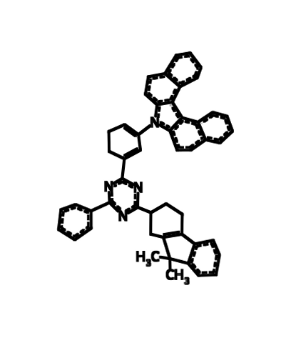 CC1(C)C2=C(CCC(c3nc(C4=CC(n5c6ccc7ccccc7c6c6c7ccccc7ccc65)=CCC4)nc(-c4ccccc4)n3)C2)c2ccccc21